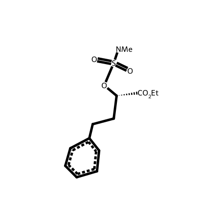 CCOC(=O)[C@H](CCc1ccccc1)OS(=O)(=O)NC